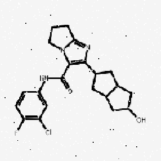 O=C(Nc1ccc(F)c(Cl)c1)c1c(C2CC3CC(O)CC3C2)nc2n1CCC2